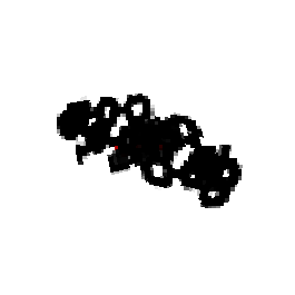 CCC1=CC2=C(C=CC=CC2c2ccc(-c3ccccc3)c(F)c2)[C]12[SiH](C)[C]1(C(CC)=CC3=C1C=CC=CC3c1ccc(-c3ccccc3)c(F)c1)[Hf]21[C]2(C(CC)=CC3=C2C=CC=CC3c2ccc(-c3ccccc3)c(F)c2)[SiH](C)[C]12C(CC)=CC1=C2C=CC=CC1c1ccc(-c2ccccc2)c(F)c1